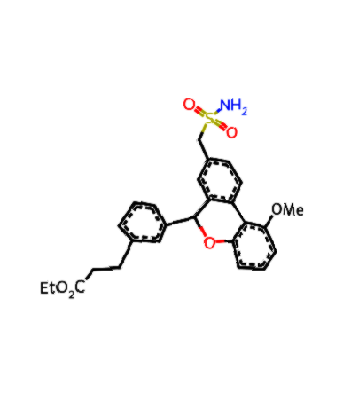 CCOC(=O)CCc1cccc(C2Oc3cccc(OC)c3-c3ccc(CS(N)(=O)=O)cc32)c1